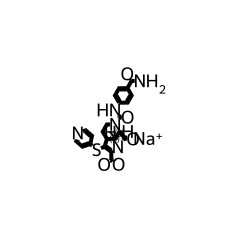 NC(=O)c1ccc(NC(=O)N2CCC3C(Sc4ccncc4)=C(C(=O)[O-])N4C(=O)[C@@H]2[C@@H]34)cc1.[Na+]